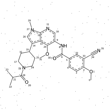 COc1ccc(C(=O)Nc2cnc3c(c(C4CCN(C(=O)C(C)C)CC4)cn3C)c2OC)cc1C#N